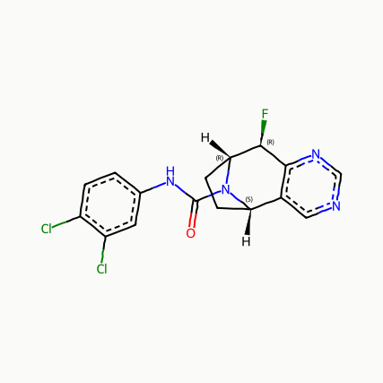 O=C(Nc1ccc(Cl)c(Cl)c1)N1[C@@H]2CC[C@H]1c1cncnc1[C@@H]2F